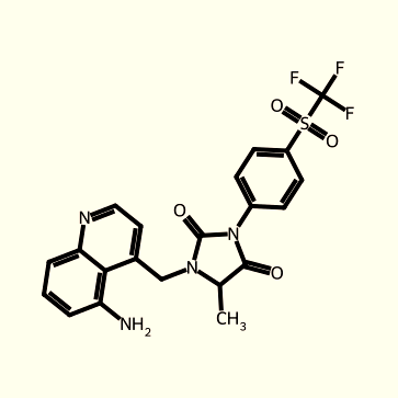 CC1C(=O)N(c2ccc(S(=O)(=O)C(F)(F)F)cc2)C(=O)N1Cc1ccnc2cccc(N)c12